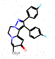 O=C(O)c1cn2c(cc1=O)-c1c(-c3ccc(F)cc3)c(-c3ccc(F)cc3)nn1CC2